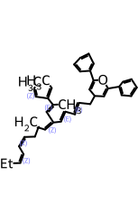 C=C(/C=C(/C=C/C=C/CC1C=C(c2ccccc2)OC(c2ccccc2)=C1)\C=C(/C)C(=CC)/C=C\C)C/C=C\C=C/CC